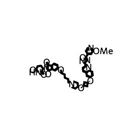 COc1cc(-c2nc(-c3ccc4cc(O[C@H]5C[C@H](OC6CCN(CCCCCOc7ccc8c(c7)C(=O)N(C7CCC(=O)NC7=O)C8=O)CC6)C5)ccc4n3)no2)ccn1